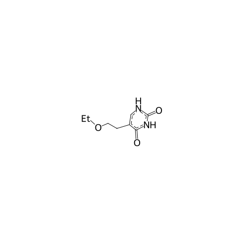 CCOCCc1c[nH]c(=O)[nH]c1=O